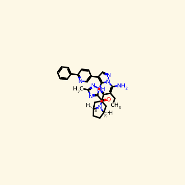 CCc1c(C2C[C@H]3CC[C@@H](C2)N3C(=O)c2nc(C)n[nH]2)nc2c(-c3ccc(-c4ccccc4)nc3)cnn2c1N